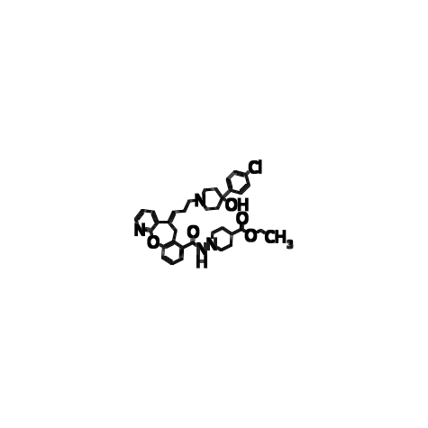 CCOC(=O)C1CCN(NC(=O)c2cccc3c2CC(=CCCN2CCC(O)(c4ccc(Cl)cc4)CC2)c2cccnc2O3)CC1